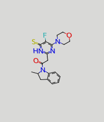 CC1Cc2ccccc2N1C(=O)Cc1nc(N2CCOCC2)c(F)c(=S)[nH]1